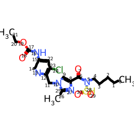 CCCCCN(C(=O)c1cn(Cc2ncc(NC(=O)OCC)cc2Cl)c(C)n1)[SH](=O)=O